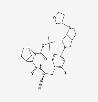 CC(C)(C)OC(=O)N1C2CCC(C2)C1C(=O)N[C@H](C#N)Cc1ccc(N2CC3CCN(C4CCOC4)C3C2)cc1F